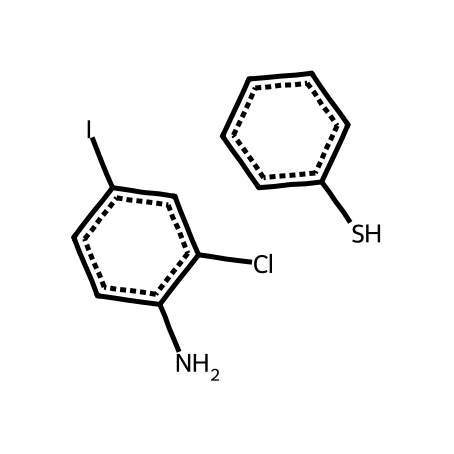 Nc1ccc(I)cc1Cl.Sc1ccccc1